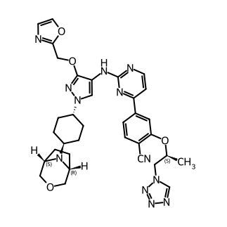 C[C@@H](Cn1cnnn1)Oc1cc(-c2ccnc(Nc3cn([C@H]4CC[C@H](N5[C@@H]6CC[C@H]5COC6)CC4)nc3OCc3ncco3)n2)ccc1C#N